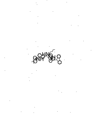 CCCCC(=O)N[C@@H](CNC(=O)OCC1c2ccccc2-c2ccccc21)c1ccc2c(NC(=O)OC(C)(C)C)cccc2c1